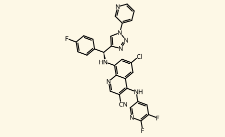 N#Cc1cnc2c(N[C@@H](c3ccc(F)cc3)c3cn(-c4cccnc4)nn3)cc(Cl)cc2c1Nc1cnc(F)c(F)c1